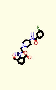 O=Cc1cccc(C=O)c1NC(=O)CN1CCC(NC(=O)c2cccc(F)c2)CC1